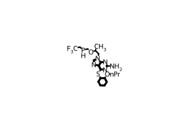 CCCOc1ccccc1Sc1nc(N)nc2c1ncn2CC(C)OCPCC(F)(F)F